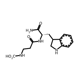 NC(=O)[C@H](CC1CNc2ccccc21)NC(=O)CCNC(=O)O